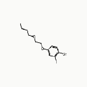 CCCCOCCOc1ccc(Br)c(I)c1